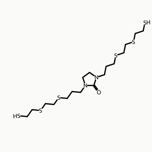 O=C1N(CCCSCCSCCS)CCN1CCCSCCSCCS